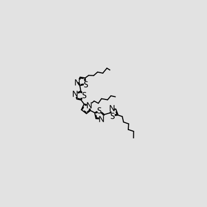 CCCCCCc1cnc(-c2ncc(-c3ccc(-c4cnc(-c5ncc(CCCCCC)s5)s4)n3CCCCCC)s2)s1